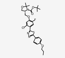 CCCOc1ccc(-c2nnc(-c3cc(F)c(OC[C@H]4COC(C)(C)N4C(=O)OC(C)(C)C)cc3Cl)s2)cc1